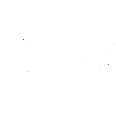 Cc1cncc(-c2ccc(CNC(O)c3sc4nnc(C)c(C)c4c3N)cc2)c1